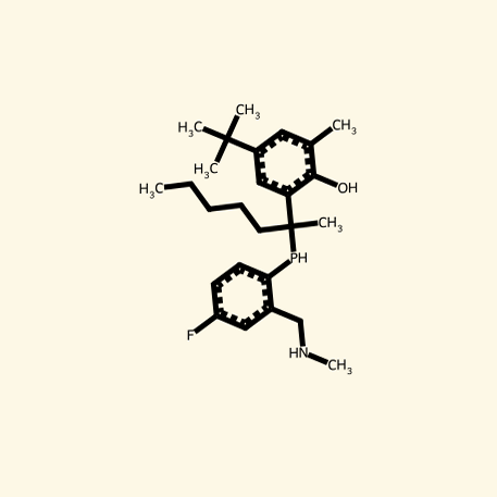 CCCCCC(C)(Pc1ccc(F)cc1CNC)c1cc(C(C)(C)C)cc(C)c1O